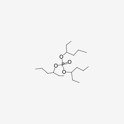 CCCC(CC)OP(=O)(OC(CC)CCC)OC(CC)CCC